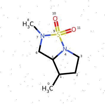 CC1CCN2C1CN(C)S2(=O)=O